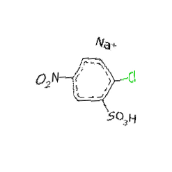 O=[N+]([O-])c1ccc(Cl)c(S(=O)(=O)O)c1.[Na+]